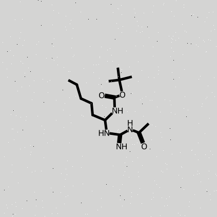 CCCCCC(NC(=N)NC(C)=O)NC(=O)OC(C)(C)C